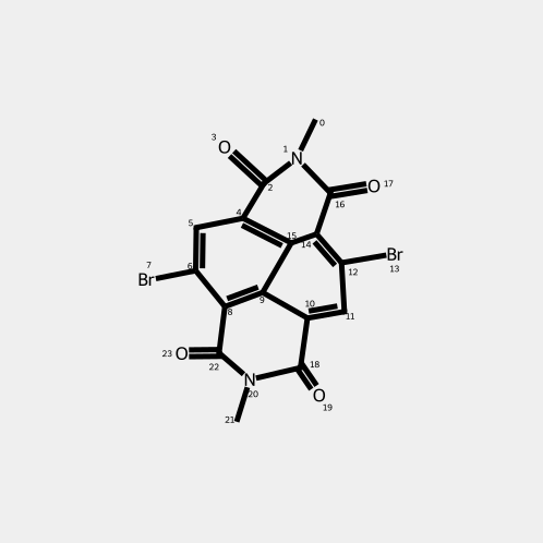 CN1C(=O)c2cc(Br)c3c4c(cc(Br)c(c24)C1=O)C(=O)N(C)C3=O